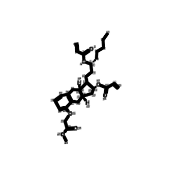 C=CC(=O)O[C@H](CCCCC)CCC1[C@H]2Cc3cccc(OCC(=O)OC)c3C[C@H]2C[C@H]1OC(=O)C=C